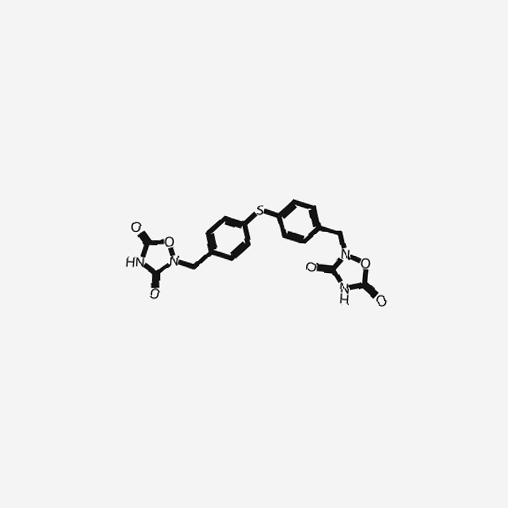 O=c1[nH]c(=O)n(Cc2ccc(Sc3ccc(Cn4oc(=O)[nH]c4=O)cc3)cc2)o1